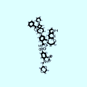 C=Cc1ccccc1[C@@H]1CCCN1C1CC2(CCN(c3ccc(C(=O)NS(=O)(=O)c4ccc(NC[C@H]5COCCO5)c([N+](=O)[O-])c4)c(N4CCCOc5nc6[nH]ccc6cc54)c3)CC2)C1